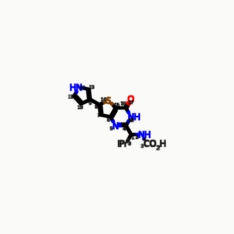 CC(C)C(NC(=O)O)c1nc2cc(-c3cc[nH]c3)sc2c(=O)[nH]1